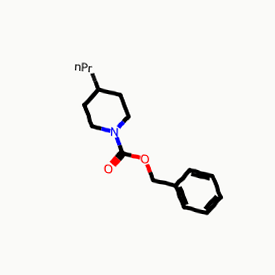 CCCC1CCN(C(=O)OCc2ccccc2)CC1